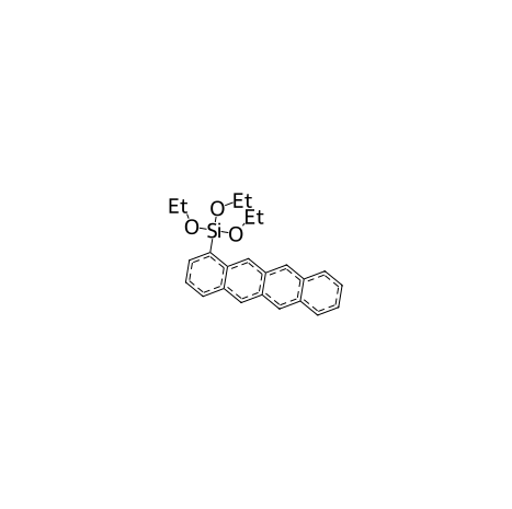 CCO[Si](OCC)(OCC)c1cccc2cc3cc4ccccc4cc3cc12